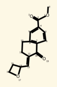 COC(=O)c1ccc2c(c1)CC/C(=C\C1CCO1)C2=O